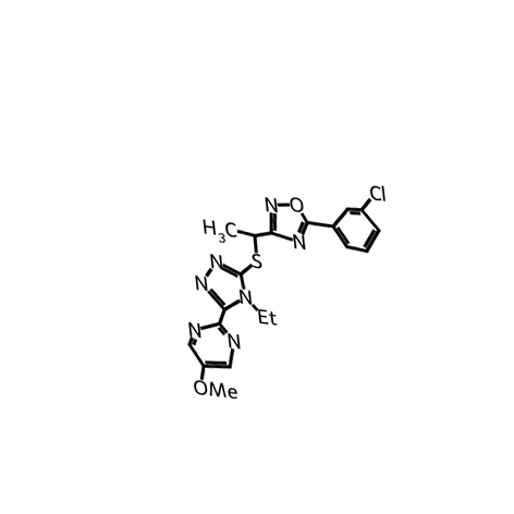 CCn1c(SC(C)c2noc(-c3cccc(Cl)c3)n2)nnc1-c1ncc(OC)cn1